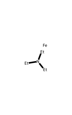 CCN(CC)CC.[Fe]